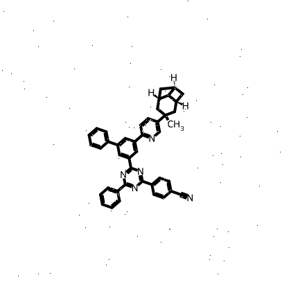 CC1(c2ccc(-c3cc(-c4ccccc4)cc(-c4nc(-c5ccccc5)nc(-c5ccc(C#N)cc5)n4)c3)nc2)C[C@H]2C[C@@H]3C[C@@H](C1)C32